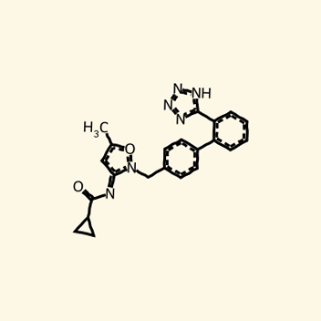 Cc1cc(=NC(=O)C2CC2)n(Cc2ccc(-c3ccccc3-c3nnn[nH]3)cc2)o1